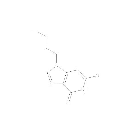 Nc1nc2c(ncn2CCCO)c(=O)[nH]1